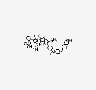 COc1cc2nc(C)nc(N[C@H](C)c3cc(-c4ccccc4OC(C)=O)cs3)c2cc1C1CCC(C(=O)N2CCN(CC3CCC4(CCNCC4)CC3)CC2)CC1